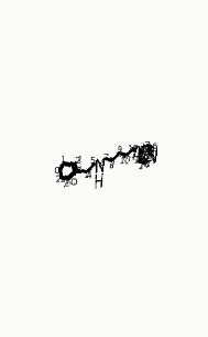 c1ccc(CCNCCCCC[N+]23CCN(CC2)CC3)cc1